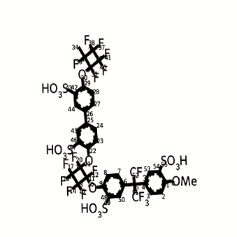 COc1ccc(C(c2ccc(OC3(F)C(F)(F)C(F)(F)C3(F)Oc3ccc(-c4ccc(OC5(F)C(C)(F)C(F)(F)C5(F)F)c(S(=O)(=O)O)c4)cc3S(=O)(=O)O)c(S(=O)(=O)O)c2)(C(F)(F)F)C(F)(F)F)cc1S(=O)(=O)O